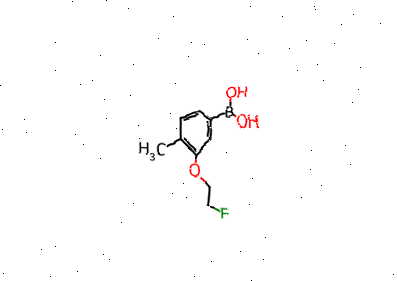 Cc1ccc(B(O)O)cc1OCCF